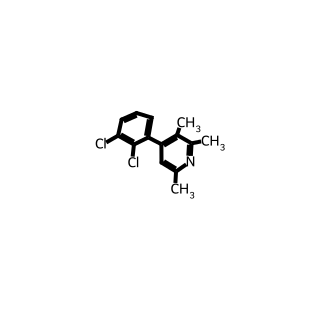 Cc1cc(-c2cccc(Cl)c2Cl)c(C)c(C)n1